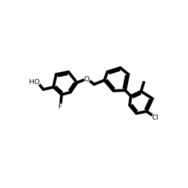 Cc1cc(Cl)ccc1-c1cccc(COc2ccc(CO)c(F)c2)c1